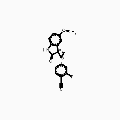 COc1ccc2c(c1)[C@]1(C[C@@H]1c1ccc(C#N)c(F)c1)C(=O)N2